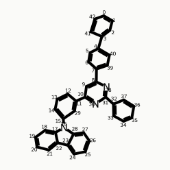 c1ccc(-c2ccc(-c3cc(-c4cccc(-n5c6ccccc6c6ccccc65)c4)nc(-c4ccccc4)n3)cc2)cc1